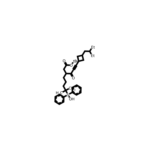 CCC(CC)CC1CC(C#CC(=O)C(CCCC(C)(C)[Si](O)(c2ccccc2)c2ccccc2)CC(=O)OC(C)(C)C)C1